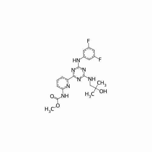 COC(=O)Nc1cccc(-c2nc(NCC(C)(C)O)nc(Nc3cc(F)cc(F)c3)n2)n1